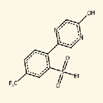 CCS(=O)(=O)c1cc(C(F)(F)F)ccc1-c1cnc(O)cn1